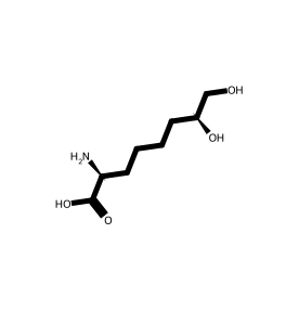 N[C@@H](CCCC[C@H](O)CO)C(=O)O